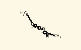 CCCCCCCCCCOc1ccc(-c2ccc(C(=O)OC3CCC(C#N)(CCCCCCC)CC3)cc2)cc1F